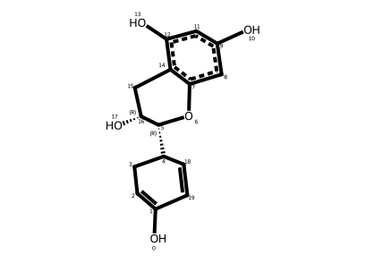 OC1=CCC([C@H]2Oc3cc(O)cc(O)c3C[C@H]2O)C=C1